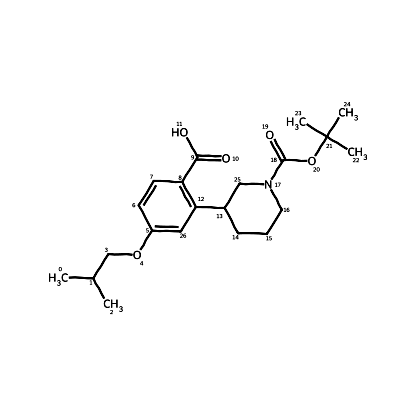 CC(C)COc1ccc(C(=O)O)c(C2CCCN(C(=O)OC(C)(C)C)C2)c1